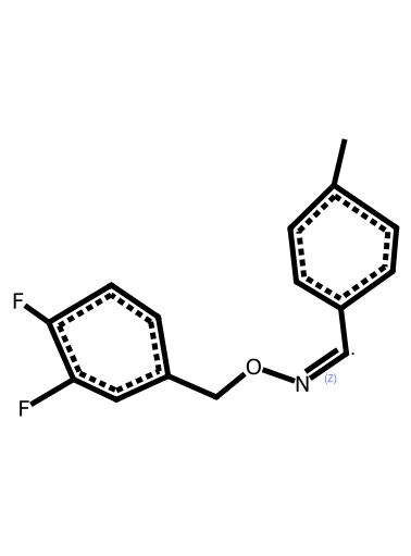 Cc1ccc(/[C]=N\OCc2ccc(F)c(F)c2)cc1